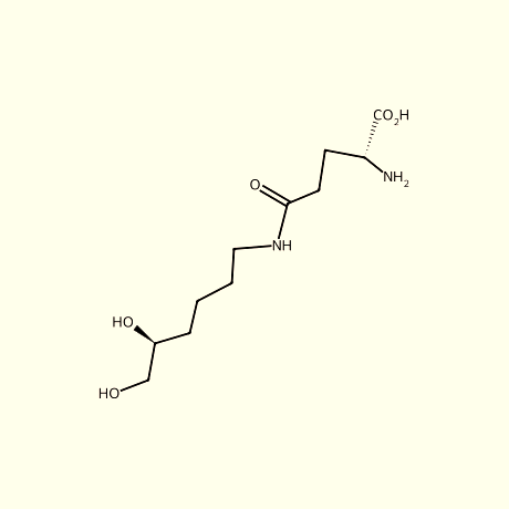 N[C@H](CCC(=O)NCCCC[C@H](O)CO)C(=O)O